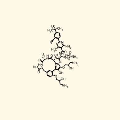 Cc1nc(-c2ccc(C(C)(C)C)cc2C#N)nc(N)c1C(=O)NC(CNS(N)(=O)=O)C(=O)N(C)[C@@H]1C(=O)N[C@@H](C)C(=O)N[C@H](C(=O)O)Cc2ccc(OCC(O)CN)c(c2)-c2cc1cc(OCC(O)CN)c2O